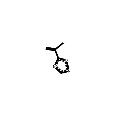 [CH2]C(=C)c1ncno1